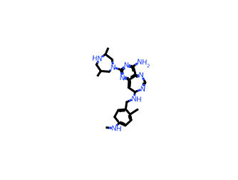 CNC1=CC=C(C)C(CNC2C=c3nc(N4CC(C)CNC(C)C4)nc(N)c3=NC=N2)=CC1